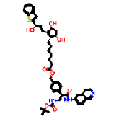 CC(C)(C)OC(=O)NCC(C(=O)Nc1ccc2cnccc2c1)c1ccc(COC(=O)CCCCCC[C@@H]2[C@@H](CC[C@@H](O)c3cc4ccccc4s3)[C@H](O)C[C@@H]2O)cc1